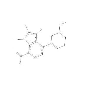 Cc1c(C)n(F)c2c(C(N)=O)ccc(C3=CCC[C@H](NC(=O)O)C3)c12